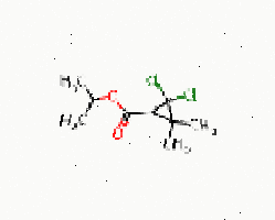 CC(C)OC(=O)C1C(C)(C)C1(Cl)Cl